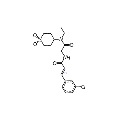 CCN(C(=O)CNC(=O)/C=C/c1cccc(Cl)c1)C1CCS(=O)(=O)CC1